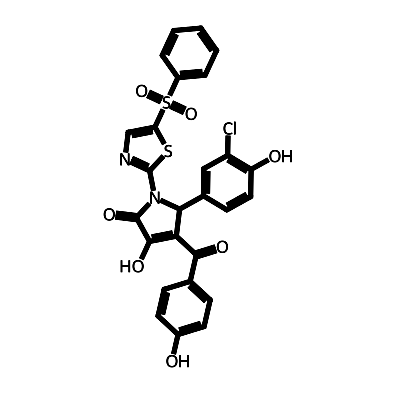 O=C(C1=C(O)C(=O)N(c2ncc(S(=O)(=O)c3ccccc3)s2)C1c1ccc(O)c(Cl)c1)c1ccc(O)cc1